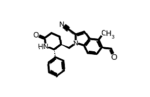 Cc1c(C=O)ccc2c1cc(C#N)n2C[C@@H]1CCC(=O)N[C@H]1c1ccccc1